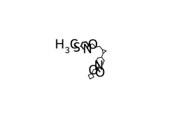 CSc1ccc(OCCC2CC2C2CCN(C(=O)OC3CCC3)CC2)nc1